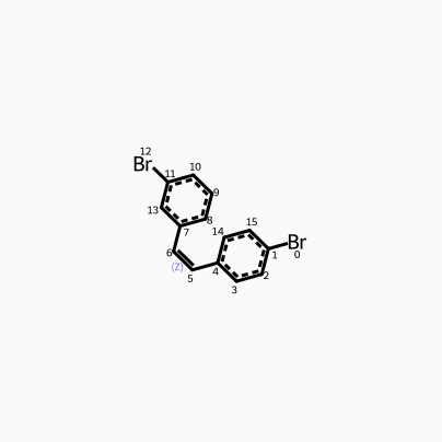 Brc1ccc(/C=C\c2cccc(Br)c2)cc1